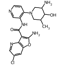 CC1CN(c2ccncc2NC(=O)c2c(N)oc3cc(Cl)cnc23)CC(N)C1O